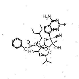 CCC(CC)COC(=O)[C@H](C)N[P@](=O)(OC[C@H]1O[C@@](C#N)(c2ccc3c(N)nc(F)nn23)[C@](C)(O)[C@@H]1OC(=O)C(C)C)Oc1ccccc1